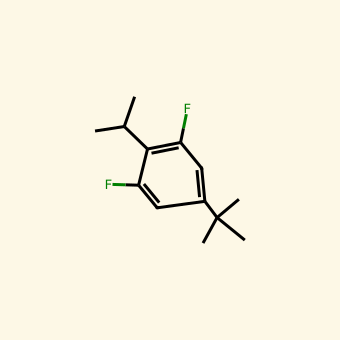 CC(C)c1c(F)cc(C(C)(C)C)cc1F